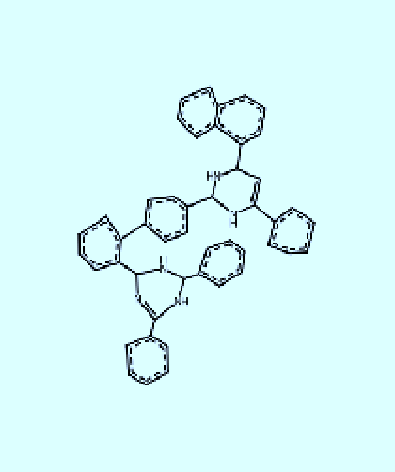 C1=C(c2ccccc2)NC(c2ccc(-c3ccccc3C3N=C(c4ccccc4)NC(c4ccccc4)N3)cc2)NC1c1cccc2ccccc12